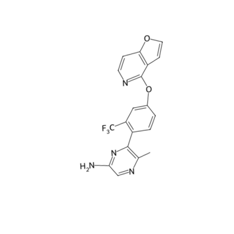 Cc1ncc(N)nc1-c1ccc(Oc2nccc3occc23)cc1C(F)(F)F